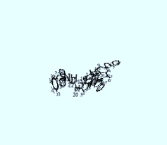 CC[C@@H]1C2C[C@H](OC=O)CCC2(C)[C@H]2CCC3(C)C([C@H](C)CCNS(=O)(=O)Cc4ccccc4)CC[C@H]3[C@@H]2[C@@H]1OC=O